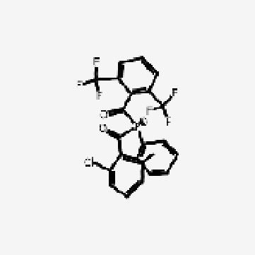 Cc1cccc(Cl)c1C(=O)P(=O)(C(=O)c1c(C(F)(F)F)cccc1C(F)(F)F)c1ccccc1